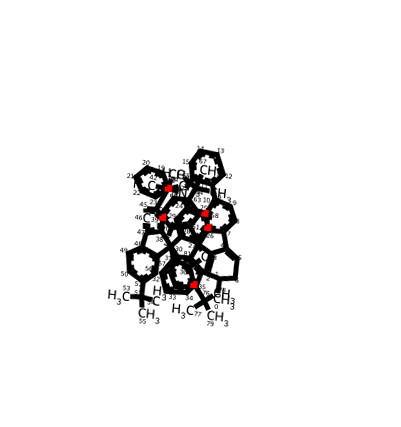 CC1C=C2C(=CC1)c1ccc(-c3ccccc3N(c3ccccc3)c3ccc4c(c3)C3(c5ccccc5O4)c4cc(C(C)(C)C)ccc4-c4ccc(C(C)(C)C)cc43)cc1C21c2cc(C(C)(C)C)ccc2Sc2ccc(C(C)(C)C)cc21